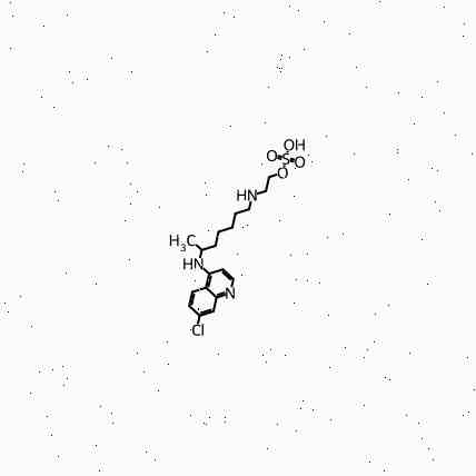 CC(CCCCCNCCOS(=O)(=O)O)Nc1ccnc2cc(Cl)ccc12